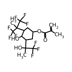 C=C(C)C(=O)OC1CC(C(C)(O)C(F)(F)F)C(O)C(C(C)(C(F)(F)F)C(F)(F)F)C1